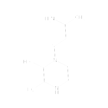 CC(N)CCN1CCNC(C)C1C